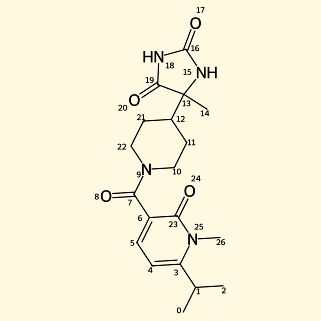 CC(C)c1ccc(C(=O)N2CCC(C3(C)NC(=O)NC3=O)CC2)c(=O)n1C